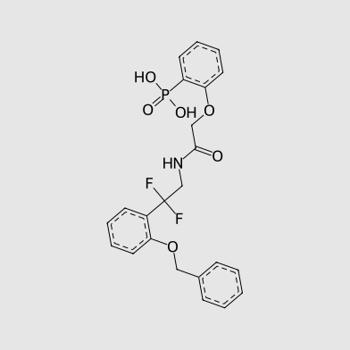 O=C(COc1ccccc1P(=O)(O)O)NCC(F)(F)c1ccccc1OCc1ccccc1